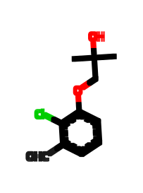 CC(C)(O)COc1cccc(C=O)c1Cl